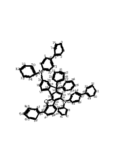 c1ccc(-c2ccc(N(c3ccccc3)c3ccc4c(c3)C(c3ccccc3)(c3ccccc3)c3cc(N(c5ccccc5)c5ccc(-c6ccccc6)cc5)c5c(oc6c(-c7ccccc7)cccc65)c3-4)cc2)cc1